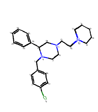 Clc1ccc(CN2CCN(CCN3CCCCC3)CC2c2ccccc2)cc1